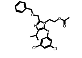 CC(=O)OCCn1c(COCc2ccccc2)nc(C(C)C)c1Sc1cc(Cl)cc(Cl)c1